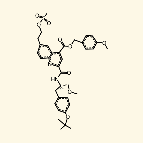 COC[C@H](Cc1ccc(OC(C)(C)C)cc1)NC(=O)c1cc(C(=O)OCc2ccc(OC)cc2)c2cc(CCOS(C)(=O)=O)ccc2n1